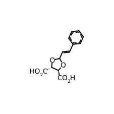 O=C(O)[C@@H]1OC(/C=C/c2ccccc2)O[C@H]1C(=O)O